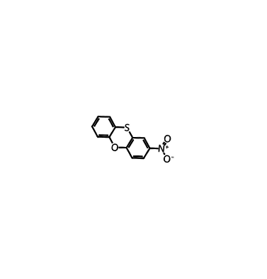 O=[N+]([O-])c1ccc2c(c1)Sc1ccccc1O2